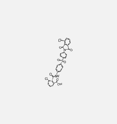 O=C(O)c1cccc(Cl)c1C(=O)Nc1ccc(S(=O)(=O)c2ccc(N3C(=O)c4cccc(Cl)c4C3=O)cc2)cc1